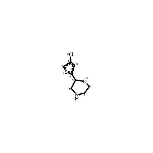 Clc1csc(C2CNCCO2)c1